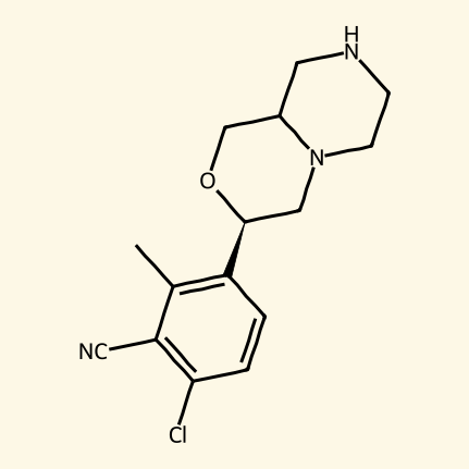 Cc1c([C@@H]2CN3CCNCC3CO2)ccc(Cl)c1C#N